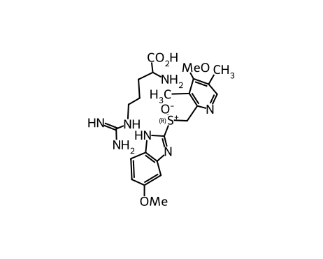 COc1ccc2[nH]c([S@@+]([O-])Cc3ncc(C)c(OC)c3C)nc2c1.N=C(N)NCCCC(N)C(=O)O